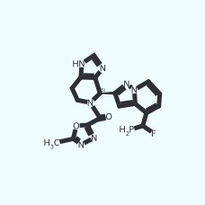 Cc1nnc(C(=O)N2CCc3[nH]cnc3[C@H]2c2cc3c(C(F)P)cccn3n2)o1